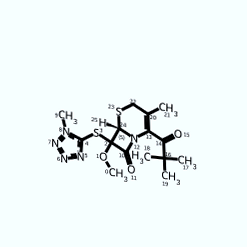 COC1(Sc2nnnn2C)C(=O)N2C(C(=O)C(C)(C)C)=C(C)CS[C@H]21